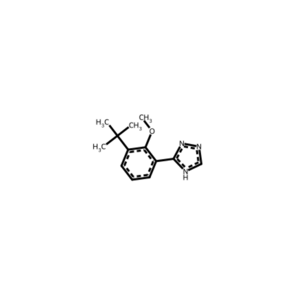 COc1c(-c2nnc[nH]2)cccc1C(C)(C)C